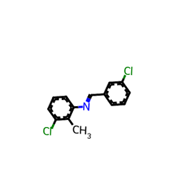 Cc1c(Cl)cccc1N=Cc1cccc(Cl)c1